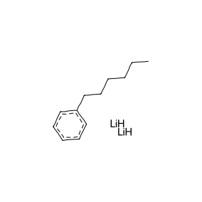 CCCCCCc1ccccc1.[LiH].[LiH]